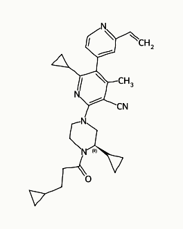 C=Cc1cc(-c2c(C3CC3)nc(N3CCN(C(=O)CCC4CC4)[C@H](C4CC4)C3)c(C#N)c2C)ccn1